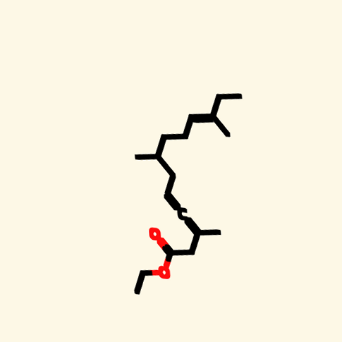 CCOC(=O)CC(C)=C=CCC(C)CC/C=C(\C)CC